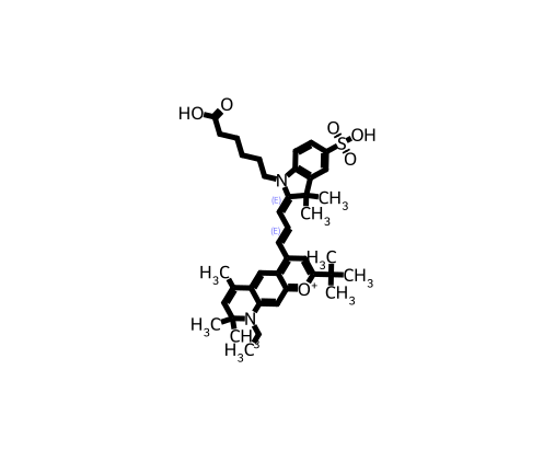 CCN1c2cc3[o+]c(C(C)(C)C)cc(/C=C/C=C4/N(CCCCCC(=O)O)c5ccc(S(=O)(=O)O)cc5C4(C)C)c3cc2C(C)=CC1(C)C